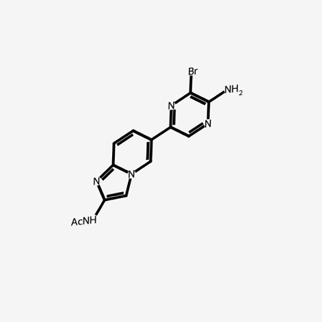 CC(=O)Nc1cn2cc(-c3cnc(N)c(Br)n3)ccc2n1